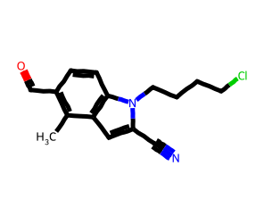 Cc1c(C=O)ccc2c1cc(C#N)n2CCCCCl